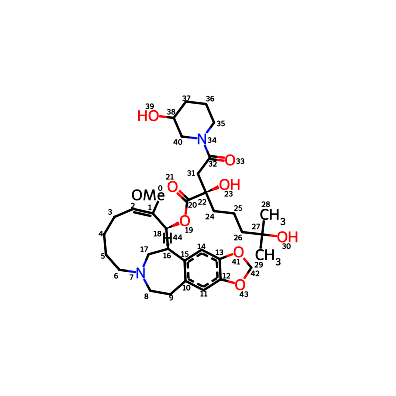 CO/C1=C/CCCCN2CCc3cc4c(cc3[C@@H](C2)[C@@H]1OC(=O)[C@@](O)(CCCC(C)(C)O)CC(=O)N1CCCC(O)C1)OCO4